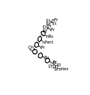 C=Cc1ccccc1.CC(C)c1ccccc1.CCC(C)c1ccccc1.CCC(CC)(CC)C(C)C.CCC(CC)C(CC)CC.CCCC(CC)(CC)CC.CCCCCCC.CCCCCc1ccccc1.CCCCc1ccccc1.CCCc1ccccc1